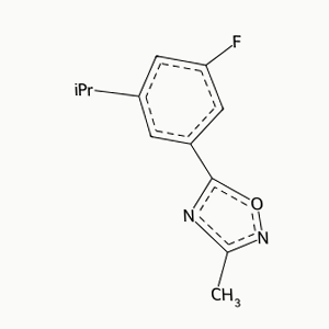 Cc1noc(-c2cc(F)cc(C(C)C)c2)n1